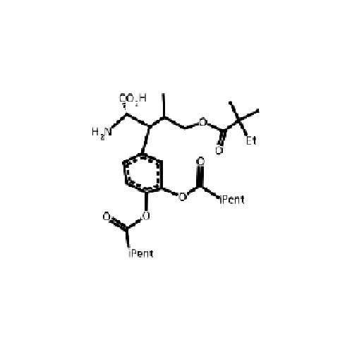 CCCC(C)C(=O)Oc1ccc(C(C(C)COC(=O)C(C)(C)CC)[C@H](N)C(=O)O)cc1OC(=O)C(C)CCC